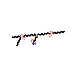 CCCCCCCCOC(=O)CCCCCCCN(CCCCCCCC(=O)OC(CCCCC)CCCCCC)CCCC(=O)N(C)C